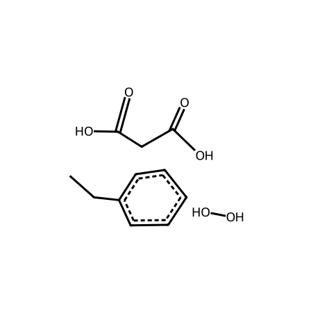 CCc1ccccc1.O=C(O)CC(=O)O.OO